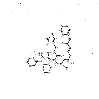 CC(C)[C@@H](C/C=C/C(=O)Nc1ccccn1)C[C@H](O)[C@H](CC1CCCCC1)NC(=O)[C@H](Cc1c[nH]cn1)NC(=O)[C@H](Cc1ccccc1)NC(=O)O